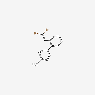 Cc1ccc(-c2ccccc2C=C(Br)Br)cc1